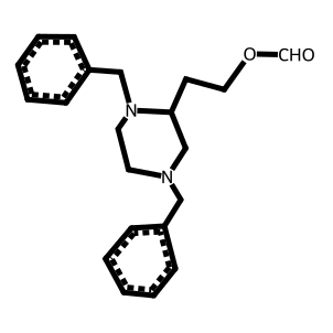 O=COCCC1CN(Cc2ccccc2)CCN1Cc1ccccc1